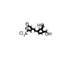 O=c1cc(C=Cc2ccc(=CO)c(=CO)c2)cc(C(Cl)(Cl)Cl)o1